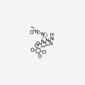 C=CC(=O)N1CC(N2CCCC2Cn2c(=O)c(-c3c(Cl)c(OC)cc(OC)c3Cl)cc3cnc(NC)nc32)C1